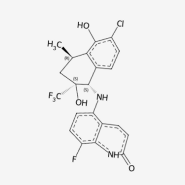 C[C@@H]1C[C@@](O)(C(F)(F)F)[C@@H](Nc2ccc(F)c3[nH]c(=O)ccc23)c2ccc(Cl)c(O)c21